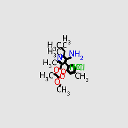 CCOC(=O)C(C)OC(=O)c1c(C)nc(CC(C)(C)C)c(CN)c1-c1ccc(C)cc1.Cl.Cl